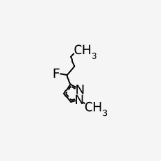 CCCC(F)c1ccn(C)n1